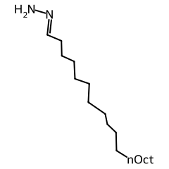 CCCCCCCCCCCCCCCCCCC=NN